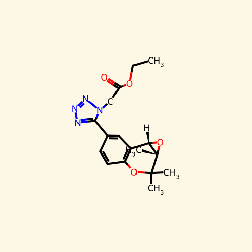 CCOC(=O)Cn1nnnc1-c1ccc2c(c1)[C@@H]1O[C@]1(C)C(C)(C)O2